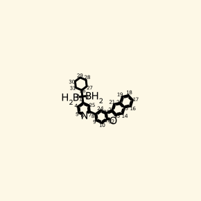 BC(B)(c1ccnc(-c2ccc3oc4cc5ccccc5cc4c3c2)c1)C1CCCCC1